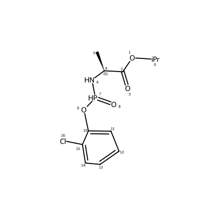 CC(C)OC(=O)[C@H](C)N[PH](=O)Oc1ccccc1Cl